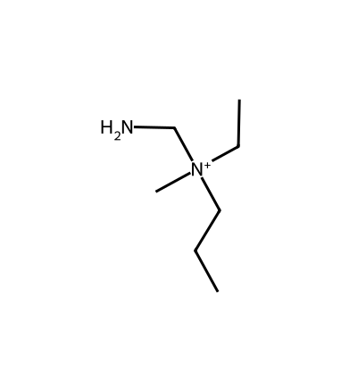 CCC[N+](C)(CC)CN